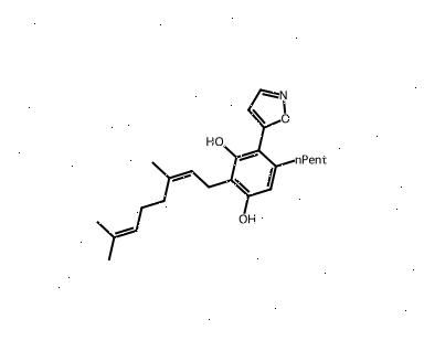 CCCCCc1cc(O)c(CC=C(C)CCC=C(C)C)c(O)c1-c1ccno1